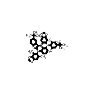 Cc1cc(C(C)(C)C)cc(C)c1N1c2cc3c(cc2B2c4c1cccc4N(c1c(C)cc4c(c1C)OCO4)c1oc4ccc(C(C)(C)C)cc4c12)OCO3